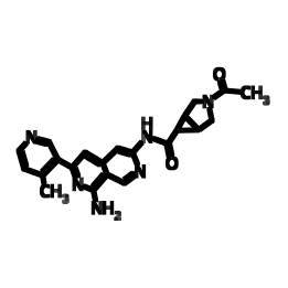 CC(=O)N1CC2C(C1)C2C(=O)Nc1cc2cc(-c3cnccc3C)nc(N)c2cn1